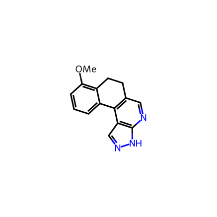 COc1cccc2c1CCc1cnc3[nH]ncc3c1-2